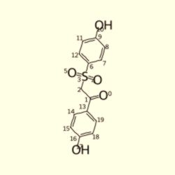 O=C(CS(=O)(=O)c1ccc(O)cc1)c1ccc(O)cc1